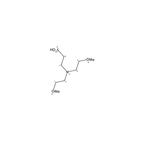 COCCN(CCOC)CCS(=O)(=O)O